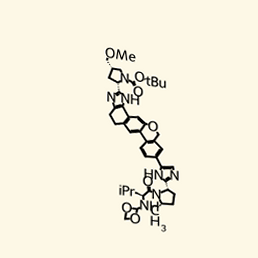 COC[C@H]1C[C@@H](c2nc3c([nH]2)-c2cc4c(cc2CC3)-c2ccc(-c3cnc([C@@H]5CC[C@H](C)N5C(=O)[C@@H](NC5OCO5)C(C)C)[nH]3)cc2CO4)N(C(=O)OC(C)(C)C)C1